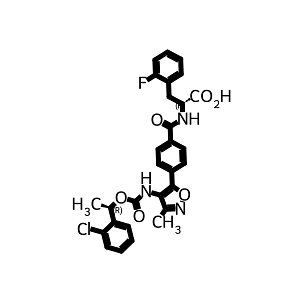 Cc1noc(-c2ccc(C(=O)N[C@H](Cc3ccccc3F)C(=O)O)cc2)c1NC(=O)O[C@H](C)c1ccccc1Cl